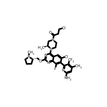 Cc1cc(N)nc(-c2c(Cl)cc3c(N4CCN(C(=O)CCCl)C[C@@H]4C)nc(OC[C@@H]4CCCN4C)nc3c2F)c1C(F)(F)F